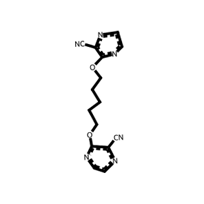 N#Cc1nccnc1OCCCCCOc1nccnc1C#N